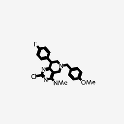 CNc1nc(Cl)nc2c1CN(Cc1ccc(OC)cc1)CC2c1ccc(F)cc1